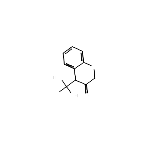 CC(C)(C)C1C(=O)COc2ccccc21